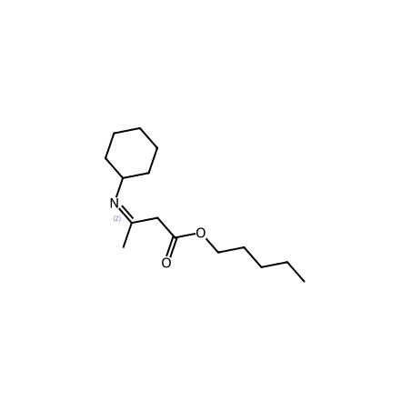 CCCCCOC(=O)C/C(C)=N\C1CCCCC1